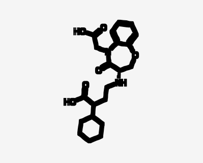 O=C(O)CN1C(=O)[C@@H](NCCC(C(=O)O)C2CCCCC2)COc2ccccc21